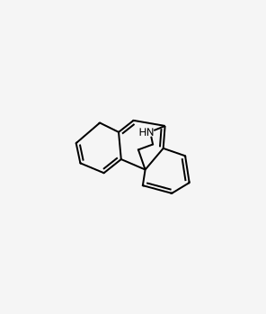 C1=CCC2=CC3=C4C=CC=CC4(CCN3)C2=C1